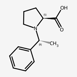 C[C@H](c1ccccc1)N1CCC[C@H]1C(=O)O